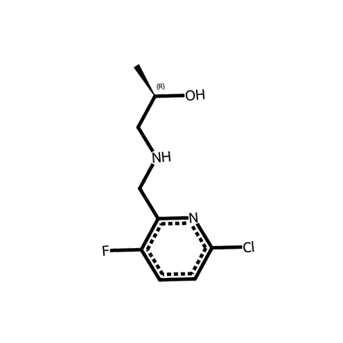 C[C@@H](O)CNCc1nc(Cl)ccc1F